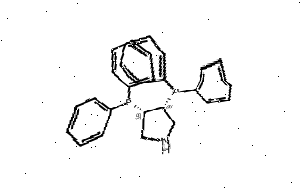 c1ccc(P(c2ccccc2)[C@@H]2CNC[C@@H]2P(c2ccccc2)c2ccccc2)cc1